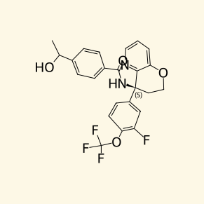 CC(O)c1ccc(C(=O)N[C@]2(c3ccc(OC(F)(F)F)c(F)c3)CCOc3cccnc32)cc1